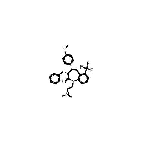 COc1ccc([C@@H]2Cc3c(cccc3C(F)(F)F)N(CCN(C)C)C(=O)[C@@H]2Cc2ccccc2)cc1